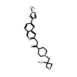 Cn1cc(-c2ccc3cnc(CC(=O)C4CCN(CC5(C)COC5)CC4)cc3c2)cn1